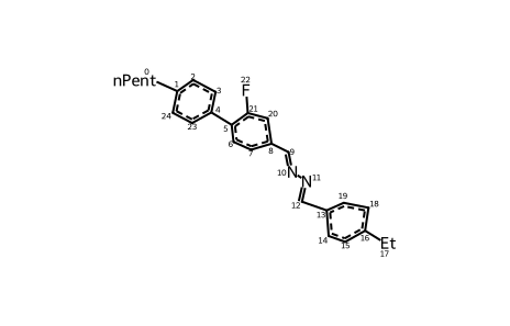 CCCCCc1ccc(-c2ccc(C=NN=Cc3ccc(CC)cc3)cc2F)cc1